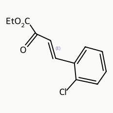 CCOC(=O)C(=O)/C=C/c1ccccc1Cl